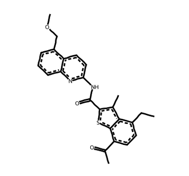 CCc1ccc(C(C)=O)c2sc(C(=O)Nc3ccc4c(COC)cccc4n3)c(C)c12